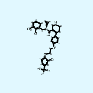 O=C(C1=C(c2ccc(OCCOc3ccc(C(F)(F)F)cc3Cl)cc2)CCNC1)N(Cc1cccc(Cl)c1Cl)C1CC1